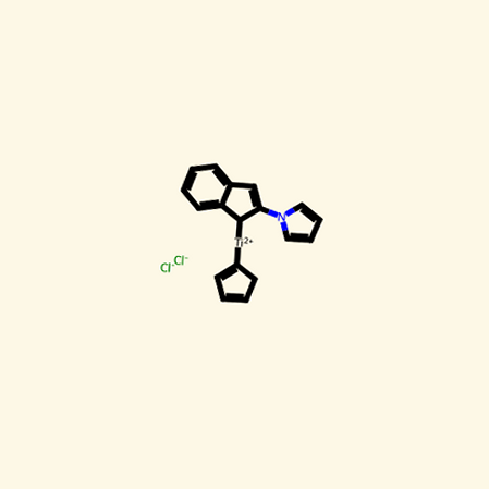 C1=CC[C]([Ti+2][CH]2C(n3cccc3)=Cc3ccccc32)=C1.[Cl-].[Cl-]